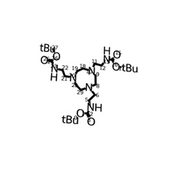 CC(C)(C)OC(=O)NCCN1CCN(CCNC(=O)OC(C)(C)C)CCN(CCNC(=O)OC(C)(C)C)CC1